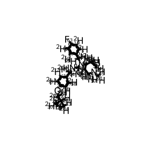 [2H]c1c([2H])c(C([2H])([2H])N(C(=O)NC([2H])([2H])c2c([2H])c([2H])c(OC([2H])([2H])C([2H])(C([2H])([2H])[2H])C([2H])([2H])[2H])c([2H])c2[2H])C2([2H])C([2H])([2H])C([2H])([2H])N(C([2H])([2H])[2H])C([2H])([2H])C2([2H])[2H])c([2H])c([2H])c1F